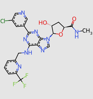 CNC(=O)[C@@H]1C[C@@H](O)[C@H](n2cnc3c(NCc4cccc(C(F)(F)F)n4)nc(-c4cncc(Cl)c4)nc32)O1